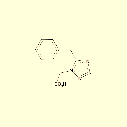 O=C(O)Cn1nnnc1Cc1ccccc1